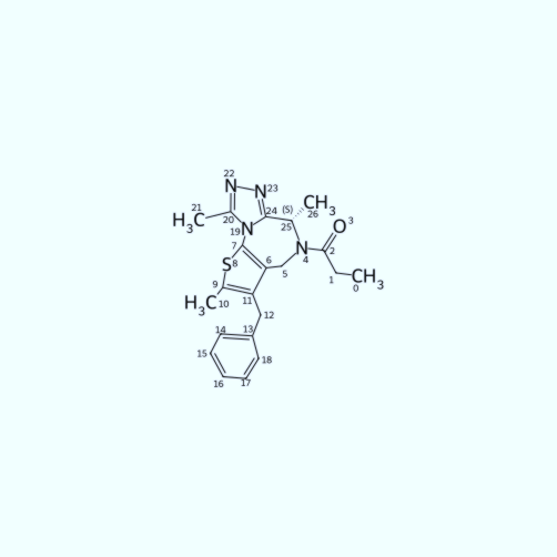 CCC(=O)N1Cc2c(sc(C)c2Cc2ccccc2)-n2c(C)nnc2[C@@H]1C